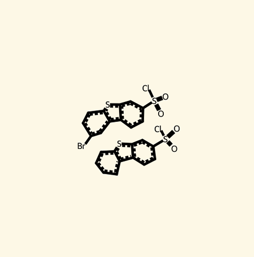 O=S(=O)(Cl)c1ccc2c(c1)sc1ccc(Br)cc12.O=S(=O)(Cl)c1ccc2c(c1)sc1ccccc12